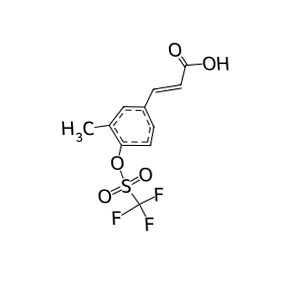 Cc1cc(C=CC(=O)O)ccc1OS(=O)(=O)C(F)(F)F